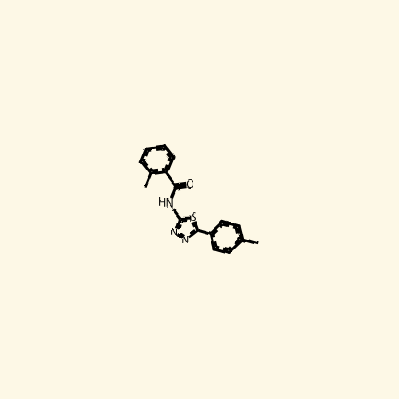 Cc1ccc(-c2nnc(NC(=O)c3ccccc3C)s2)cc1